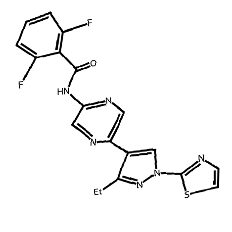 CCc1nn(-c2nccs2)cc1-c1cnc(NC(=O)c2c(F)cccc2F)cn1